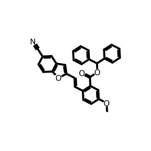 COc1ccc(C=Cc2cc3cc(C#N)ccc3o2)c(C(=O)OC(c2ccccc2)c2ccccc2)c1